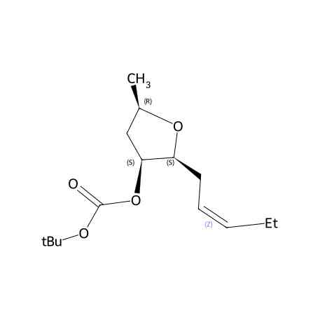 CC/C=C\C[C@@H]1O[C@H](C)C[C@@H]1OC(=O)OC(C)(C)C